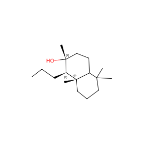 CCC[C@@H]1[C@@]2(C)CCCC(C)(C)C2CC[C@@]1(C)O